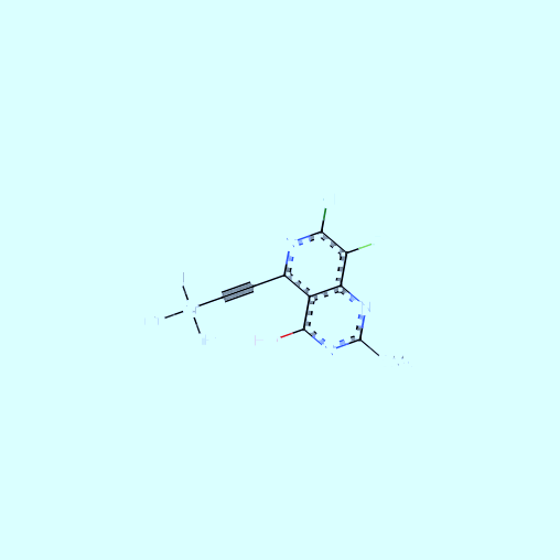 CSc1nc(O)c2c(C#C[Si](C(C)C)(C(C)C)C(C)C)nc(Cl)c(F)c2n1